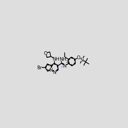 CCc1cc(O[Si](C)(C)C(C)(C)C)ccc1/N=C(\N)c1cnn2cc(Br)cc2c1NC1COC1